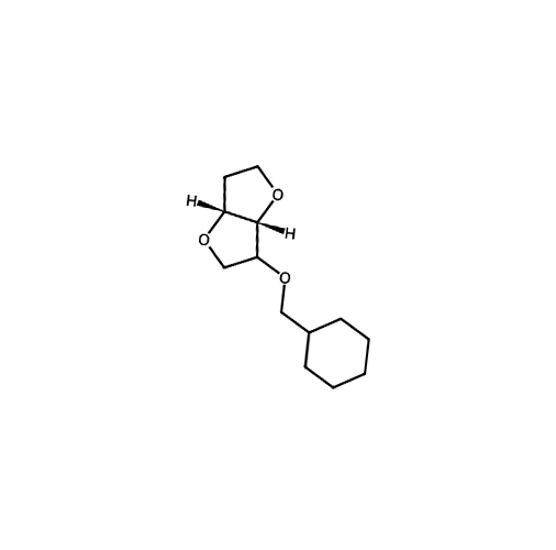 C1CCC(COC2CO[C@@H]3CCO[C@H]23)CC1